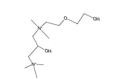 C[N+](C)(C)CC(O)C[N+](C)(C)CCOCCO